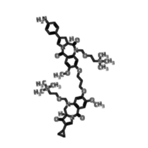 COc1cc2c(cc1OCCCOc1cc3c(cc1OC)C(=O)N1C=C(c4ccc(N)cc4)C[C@H]1C(=O)N3COCC[Si](C)(C)C)N(COCC[Si](C)(C)C)C[C@H]1C(=O)C(C3CC3)=CN1C2=O